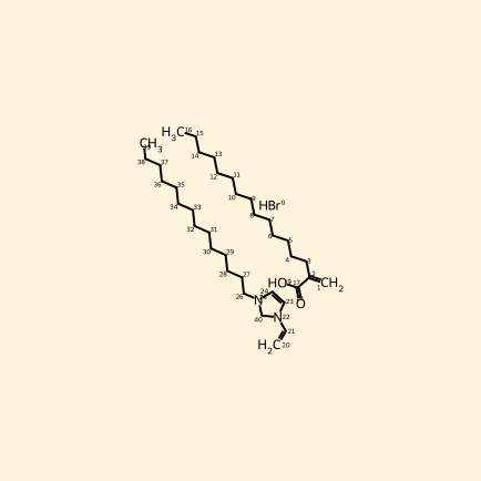 Br.C=C(CCCCCCCCCCCCCC)C(=O)O.C=CN1C=CN(CCCCCCCCCCCCCC)C1